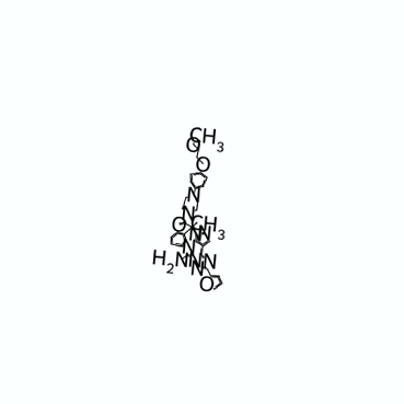 COCCOc1ccc(N2CCN(C(=O)[C@@](C)(c3ccccc3)n3ncc4c3nc(N)n3nc(-c5ccco5)nc43)CC2)cc1